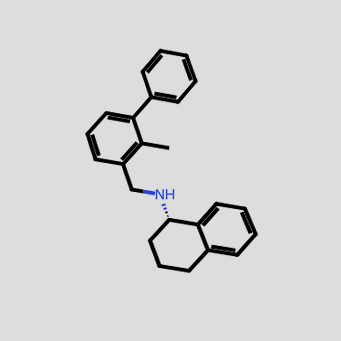 Cc1c(CN[C@H]2CCCc3ccccc32)cccc1-c1ccccc1